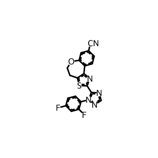 N#Cc1ccc2c(c1)OCCc1sc(-c3ncnn3-c3ccc(F)cc3F)nc1-2